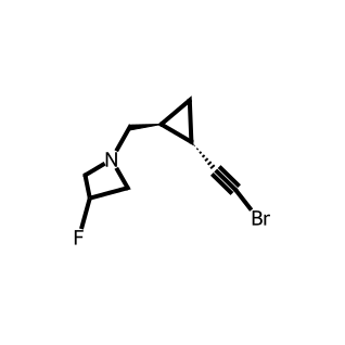 FC1CN(C[C@H]2C[C@@H]2C#CBr)C1